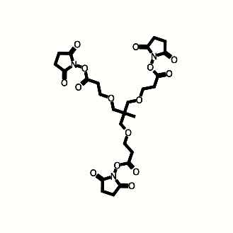 CC(COCCC(=O)ON1C(=O)CCC1=O)(COCCC(=O)ON1C(=O)CCC1=O)COCCC(=O)ON1C(=O)CCC1=O